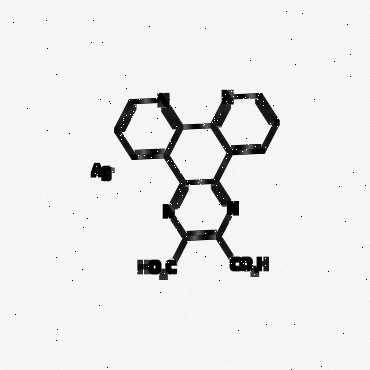 O=C(O)c1nc2c3cccnc3c3ncccc3c2nc1C(=O)O.[Ag]